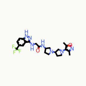 Cc1noc(C)c1N1CCC(N2CCC(NC(=O)CNc3n[nH]c4ccc(C(F)(F)F)cc34)C2)C1